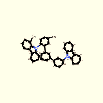 N#Cc1ccc(-n2c3ccccc3c3cccc(C#N)c32)c(-c2cccc(-c3cccc(-n4c5ccccc5c5ccccc54)c3)c2)c1